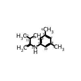 C=C(Nc1cc(C)cc(C)c1)C(C)C